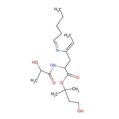 C/C=C(CC(NC(=O)C(C)O)C(=O)OC(C)(C)CCO)\N=C/CCCC